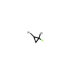 CC(C)C1CC1(F)C(C)C